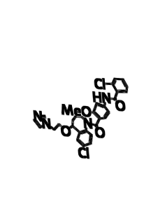 COc1cc(NC(=O)c2ccccc2Cl)ccc1C(=O)N1CCCC(OCCn2ccnc2)c2cc(Cl)ccc21